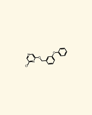 Clc1cncc(OCc2cccc(Oc3ccccc3)c2)n1